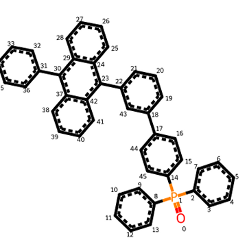 O=P(c1ccccc1)(c1ccccc1)c1ccc(-c2cccc(-c3c4ccccc4c(-c4ccccc4)c4ccccc34)c2)cc1